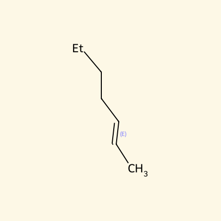 [CH2]CCC/C=[C]/C